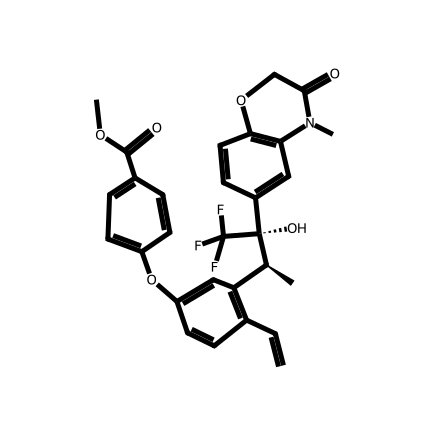 C=Cc1ccc(Oc2ccc(C(=O)OC)cc2)cc1[C@H](C)[C@](O)(c1ccc2c(c1)N(C)C(=O)CO2)C(F)(F)F